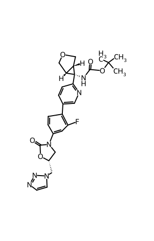 CC(C)(C)OC(=O)N[C@]1(c2ccc(-c3ccc(N4C[C@H](Cn5ccnn5)OC4=O)cc3F)cn2)[C@@H]2COC[C@@H]21